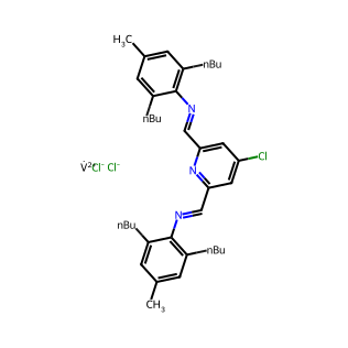 CCCCc1cc(C)cc(CCCC)c1N=Cc1cc(Cl)cc(C=Nc2c(CCCC)cc(C)cc2CCCC)n1.[Cl-].[Cl-].[V+2]